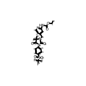 CCOC(=O)Nc1cc(CN2C(=O)N(c3ccc(S(=O)(=O)C(F)(F)F)cc3)C(=O)C2(C)C)ccn1